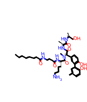 CCCCCCCC(=O)NCCC(=O)N[C@@H](CCCCN)C(=O)N(C)[C@H](C(=O)N[C@@H](C)C(=O)N[C@@H](C)CO)c1ccc(O)c(-c2cc(C)ccc2O)c1